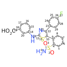 NS(=O)(=O)c1ccccc1-c1sc(Nc2cccc(C(=O)O)c2)nc1-c1ccc(F)cc1